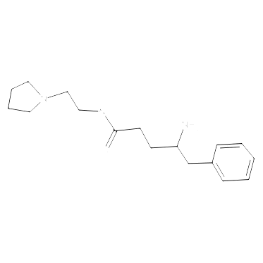 NC(CCC(=O)NCCN1CCCC1)Cc1ccccc1